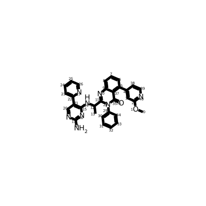 COc1cc(-c2cccc3nc(C(C)Nc4nc(N)ncc4-c4ccccn4)n(-c4ccccc4)c(=O)c23)ccn1